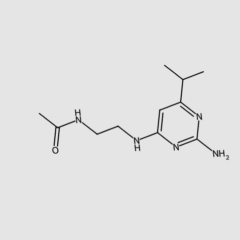 CC(=O)NCCNc1cc(C(C)C)nc(N)n1